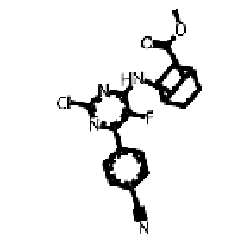 COC(=O)C1C2CCC(CC2)C1Nc1nc(Cl)nc(-c2ccc(C#N)cc2)c1F